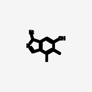 CCC1N=Cc2c1cc(O)c(C)c2C